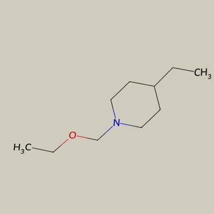 CCOCN1CCC(CC)CC1